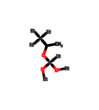 CCO[Si](CC)(OCC)OC(C)[Si](CC)(CC)CC